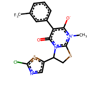 C[n+]1c([O-])c(-c2cccc(C(F)(F)F)c2)c(=O)n2c1SCC2c1cnc(Cl)s1